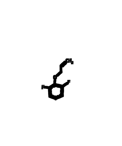 C=CCOc1c(F)c[c]cc1F